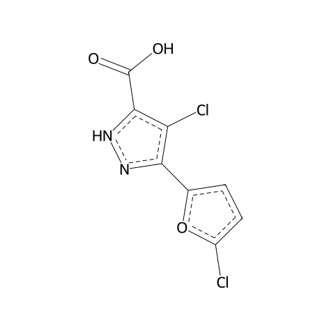 O=C(O)c1[nH]nc(-c2ccc(Cl)o2)c1Cl